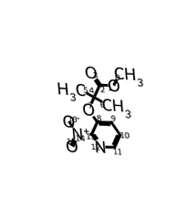 COC(=O)C(C)(C)Oc1cccnc1[N+](=O)[O-]